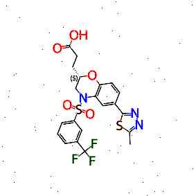 Cc1nnc(-c2ccc3c(c2)N(S(=O)(=O)c2cccc(C(F)(F)F)c2)C[C@H](CCC(=O)O)O3)s1